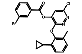 Cc1cccc(C2CC2)c1Oc1nnc(Cl)cc1OC(=O)c1cccc(Br)c1